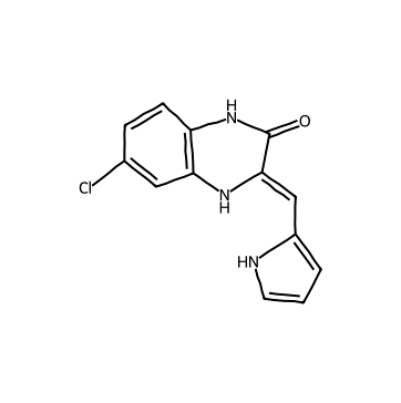 O=C1Nc2ccc(Cl)cc2NC1=Cc1ccc[nH]1